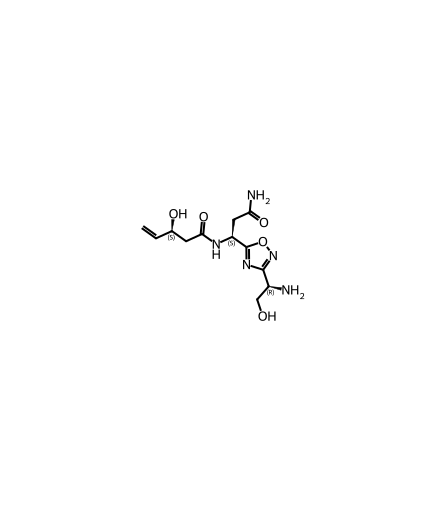 C=C[C@@H](O)CC(=O)N[C@@H](CC(N)=O)c1nc([C@@H](N)CO)no1